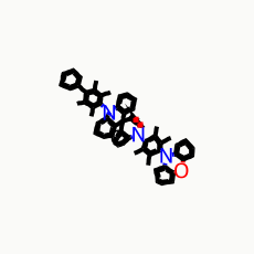 Cc1c(C)c(N2c3ccccc3C3(c4ccccc42)c2ccccc2N(c2c(C)c(C)c(N4c5ccccc5Oc5ccccc54)c(C)c2C)c2ccccc23)c(C)c(C)c1-c1ccccc1